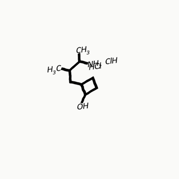 CC(N)C(C)CC1CCC1O.Cl.Cl